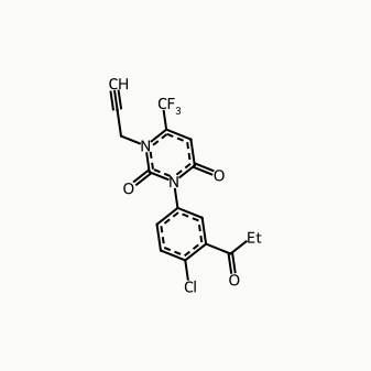 C#CCn1c(C(F)(F)F)cc(=O)n(-c2ccc(Cl)c(C(=O)CC)c2)c1=O